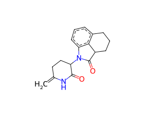 C=C1CCC(N2C(=O)C3CCCc4cccc2c43)C(=O)N1